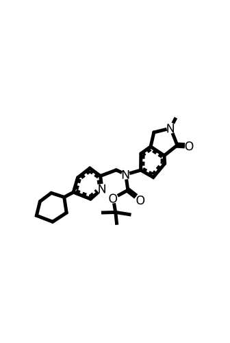 CN1Cc2cc(N(Cc3ccc(C4CCCCC4)cn3)C(=O)OC(C)(C)C)ccc2C1=O